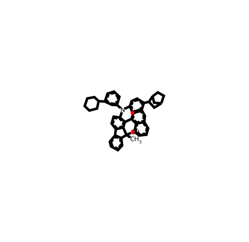 CC1(C)c2ccccc2-c2ccc(N(c3ccc(C4CC5CCC4C5)cc3)c3cccc(C4CCCCC4)c3)c(-c3cccc4ccccc34)c21